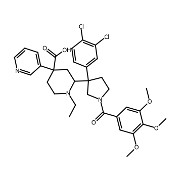 CCN1CCC(C(=O)O)(c2cccnc2)CC1C1(c2ccc(Cl)c(Cl)c2)CCN(C(=O)c2cc(OC)c(OC)c(OC)c2)C1